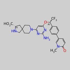 Cn1cc(-c2ccc([C@@H](Oc3cc(N4CCC5(CC4)CN[C@H](C(=O)O)C5)nc(N)n3)C(F)(F)F)cc2)ccc1=O